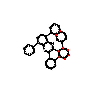 c1ccc(-c2ccccc2-c2nc3c(-c4ccccc4)ccc(-c4ccccc4)c3nc2-c2ccccc2-c2ccccc2)cc1